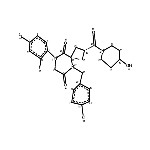 O=C1CN(c2ccc(Cl)cc2F)C(=O)[C@]2(C[C@@H](C(=O)N3CCC(O)CC3)C2)N1Cc1ccc(Cl)cc1